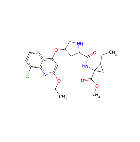 CCOc1cc(OC2CNC(C(=O)NC3(C(=O)OC)CC3CC)C2)c2cccc(Cl)c2n1